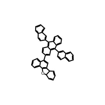 C1=CC2Oc3c(cc(-c4ccc5c(-c6ccc7ccccc7c6)c6ccccc6c(-c6ccc7ccccc7c6)c5c4)c4ccccc34)C2C=C1